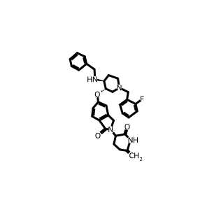 C=C1CCC(N2Cc3cc(O[C@H]4CN(Cc5ccccc5F)CC[C@@H]4NCc4ccccc4)ccc3C2=O)C(=O)N1